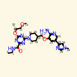 CCNC(=O)c1nc(O[C@H](C)COC)nc(N2CCC(COc3cc(-c4cn(C)cn4)cnc3N)CC2)n1